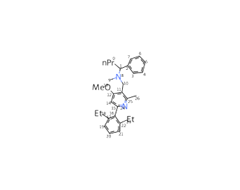 CCCC(c1ccccc1)N(C)Cc1c(OC)cc(-c2c(CC)cccc2CC)nc1C